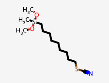 CO[Si](C)(CCCCCCCCCSC#N)OC